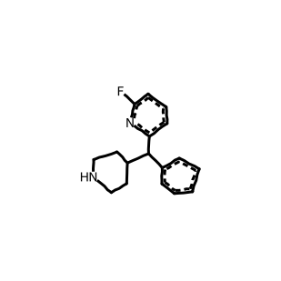 Fc1cccc(C(c2ccccc2)C2CCNCC2)n1